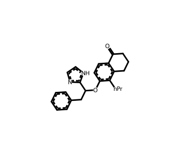 CCCc1c(OC(Cc2ccccc2)c2ncc[nH]2)ccc2c1CCCC2=O